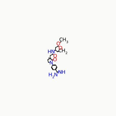 C=CC(CC(=O)OCC)NC(=O)C[C@@H]1CCN(c2ccc(C(=N)N)cc2)C1=O